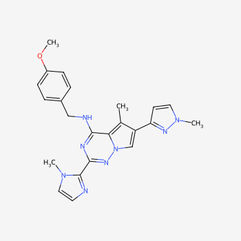 COc1ccc(CNc2nc(-c3nccn3C)nn3cc(-c4ccn(C)n4)c(C)c23)cc1